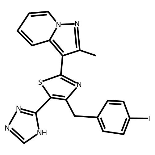 Cc1nn2ccccc2c1-c1nc(Cc2ccc(I)cc2)c(-c2nnc[nH]2)s1